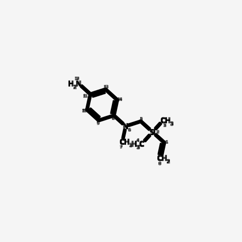 C=C[Si](C)(C)CN(C)c1ccc(N)cc1